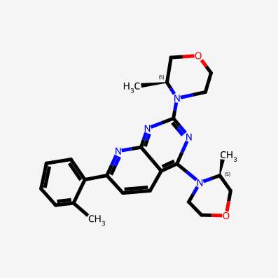 Cc1ccccc1-c1ccc2c(N3CCOC[C@@H]3C)nc(N3CCOC[C@@H]3C)nc2n1